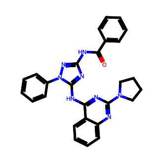 O=C(Nc1nc(Nc2nc(N3CCCC3)nc3ccccc23)n(-c2ccccc2)n1)c1ccccc1